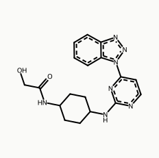 O=C(CO)NC1CCC(Nc2nccc(-n3nnc4ccccc43)n2)CC1